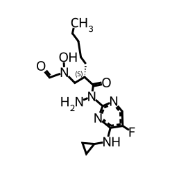 CCCCC[C@@H](CN(O)C=O)C(=O)N(N)c1ncc(F)c(NC2CC2)n1